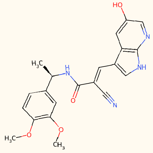 COc1ccc([C@@H](C)NC(=O)/C(C#N)=C/c2c[nH]c3ncc(O)cc23)cc1OC